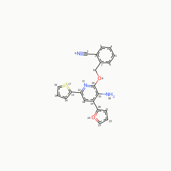 N#Cc1ccccc1COc1nc(-c2cccs2)cc(-c2ccco2)c1N